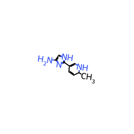 CC1C=CC(c2nc(N)c[nH]2)=CN1